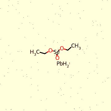 CCO[Se](=O)OCC.[PbH2]